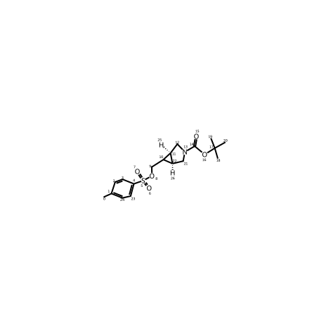 Cc1ccc(S(=O)(=O)OCC2[C@H]3CN(C(=O)OC(C)(C)C)C[C@@H]23)cc1